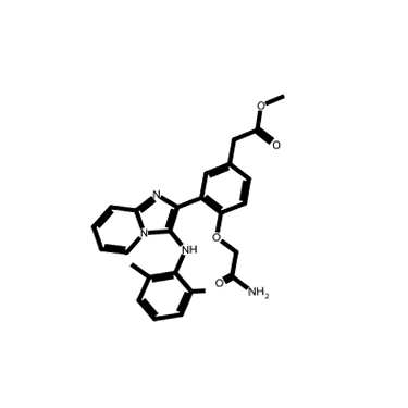 COC(=O)Cc1ccc(OCC(N)=O)c(-c2nc3ccccn3c2Nc2c(C)cccc2C)c1